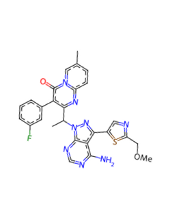 COCc1ncc(-c2nn(C(C)c3nc4ccc(C)cn4c(=O)c3-c3cccc(F)c3)c3ncnc(N)c23)s1